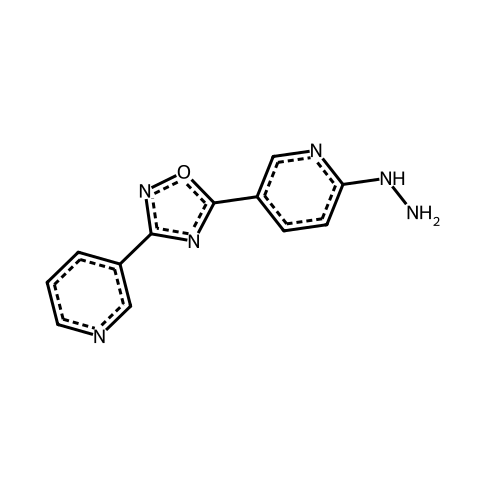 NNc1ccc(-c2nc(-c3cccnc3)no2)cn1